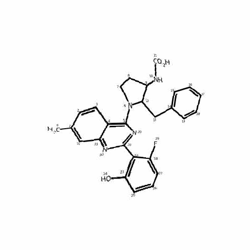 Cc1ccc2c(N3CCC(NC(=O)O)C3Cc3ccccc3)nc(-c3c(O)cccc3F)nc2c1